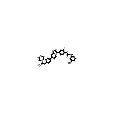 CC(Cc1ccc(-c2ccn3c(-c4ccc(CC(=O)Nc5cc(C(C)(C)C)ccn5)c(F)c4)cnc3c2)cn1)N1CCOCC1